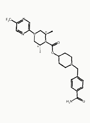 C[C@@H]1CN(c2cnc(C(F)(F)F)cn2)C[C@@H](C)N1C(=O)OC1CCN(Cc2ccc(C(N)=O)cc2)CC1